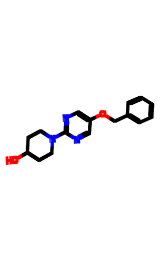 OC1CCN(c2ncc(OCc3ccccc3)cn2)CC1